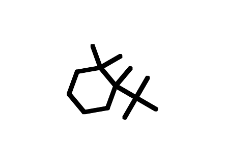 CC(C)(C)C1(C)CCCCC1(C)C